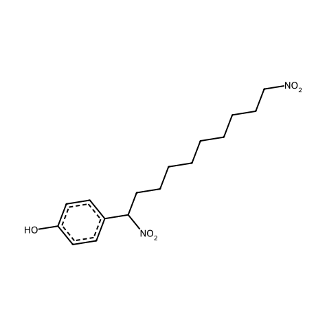 O=[N+]([O-])CCCCCCCCCC(c1ccc(O)cc1)[N+](=O)[O-]